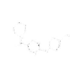 N#Cc1ccc(Nc2ccc(C(=O)N3CCC(F)(F)CC3)cn2)cc1